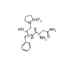 NC(=O)C[C@H](N)C(=O)N[C@@H](Cc1ccccc1)[C@H](O)CN1CCC[C@H]1C(F)(F)F